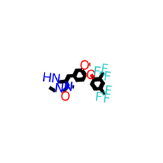 CCN1C(=N)/C(=C/c2ccc(Oc3ccc(C(F)(F)F)cc3C(F)(F)F)c(OC)c2)N(C)C1=O